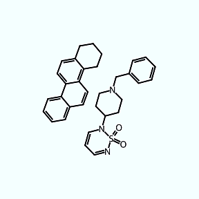 O=S1(=O)N=CC=CN1C1CCN(Cc2ccccc2)CC1.c1ccc2c(c1)ccc1c3c(ccc12)CCCC3